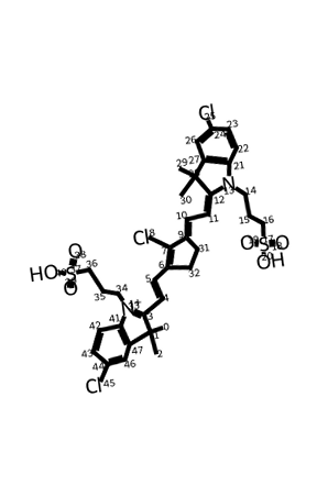 CC1(C)C(/C=C/C2=C(Cl)C(=C/C=C3/N(CCCS(=O)(=O)O)c4ccc(Cl)cc4C3(C)C)/CC2)=[N+](CCCS(=O)(=O)O)c2ccc(Cl)cc21